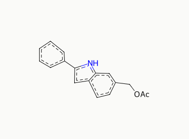 CC(=O)OCc1ccc2cc(-c3ccccc3)[nH]c2c1